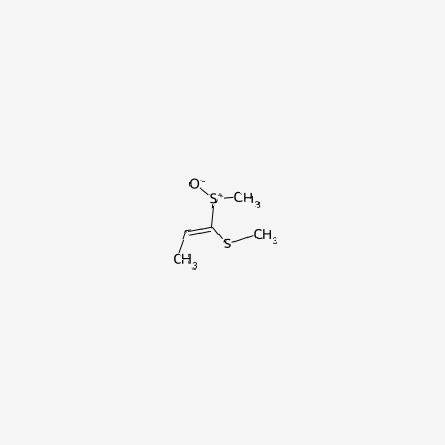 C/C=C(\SC)[S+](C)[O-]